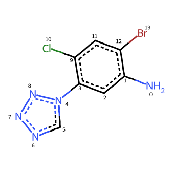 Nc1cc(-n2cnnn2)c(Cl)cc1Br